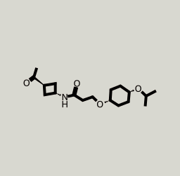 CC(=O)[C@H]1C[C@H](NC(=O)CCO[C@H]2CC[C@@H](OC(C)C)CC2)C1